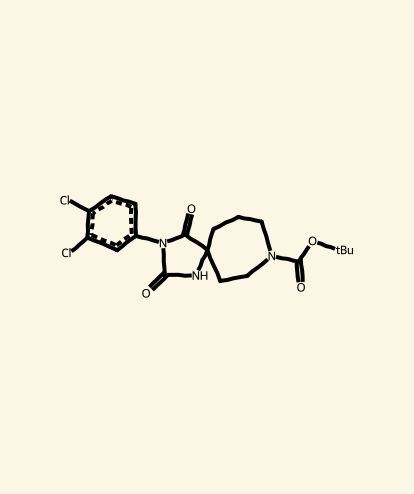 CC(C)(C)OC(=O)N1CCCC2(CC1)NC(=O)N(c1ccc(Cl)c(Cl)c1)C2=O